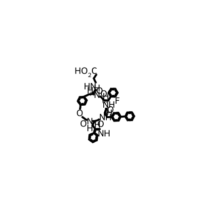 O=C(O)CCCNC(=O)[C@H]1Cc2ccc(cc2)OCC(=O)N[C@@H](Cc2c[nH]c3ccccc23)C(=O)N[C@H](Cc2ccc(-c3ccccc3)cc2)C(=O)N[C@@H](Cc2ccccc2F)C(=O)N1